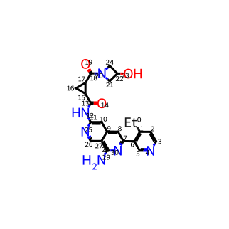 CCc1ccncc1-c1cc2cc(NC(=O)C3CC3C(=O)N3CC(O)C3)ncc2c(N)n1